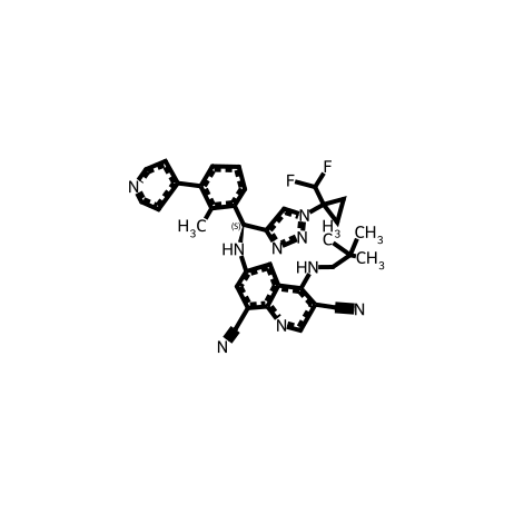 Cc1c(-c2ccncc2)cccc1[C@H](Nc1cc(C#N)c2ncc(C#N)c(NCC(C)(C)C)c2c1)c1cn(C2(C(F)F)CC2)nn1